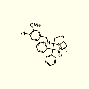 COc1cc(CNC(CC(C)C)(N2CCC2)C(C(N)=O)(c2ccccc2)c2ccccc2)ccc1Cl